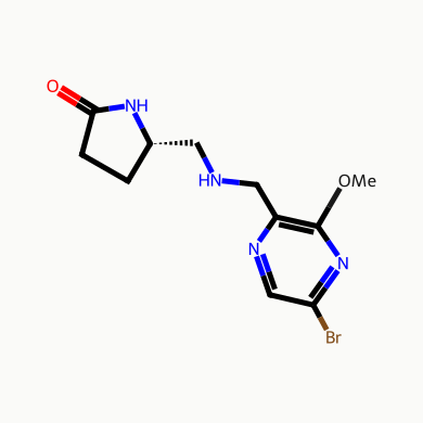 COc1nc(Br)cnc1CNC[C@@H]1CCC(=O)N1